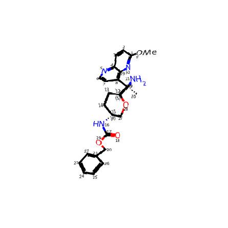 COc1ccc2nccc([C@@](C)(N)[C@@H]3CC[C@@H](NC(=O)OCc4ccccc4)CO3)c2n1